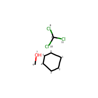 C1CCCCC1.CO.ClC(Cl)Cl